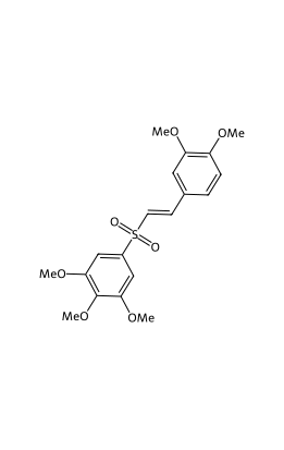 COc1ccc(C=CS(=O)(=O)c2cc(OC)c(OC)c(OC)c2)cc1OC